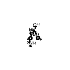 Cc1cc(-c2cnc3c(NCC(C)(C)O)cc(Oc4cccc(F)c4)nn23)ccc1C(=O)NC1CC1